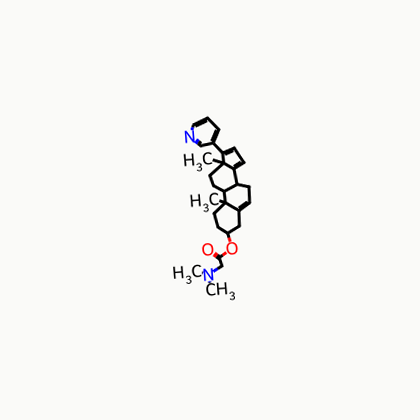 CN(C)CC(=O)OC1CCC2(C)C(=CCC3C4=CC=C(c5cccnc5)C4(C)CCC32)C1